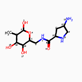 CC1C(O)OC(CNC(=O)C2CC(N)CN2)C(O)C1O